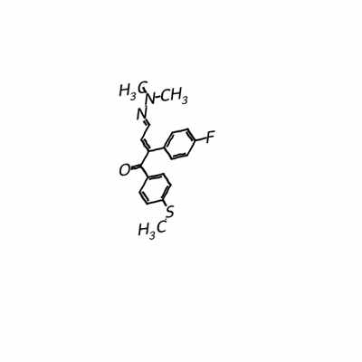 CSc1ccc(C(=O)C(=CC=NN(C)C)c2ccc(F)cc2)cc1